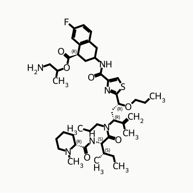 C=C(C)[C@@H](C[C@@H](OCCC)c1nc(C(=O)NC2Cc3ccc(F)cc3[C@H](C(=O)OC(C)CN)C2)cs1)N(CCC)C(=O)[C@@H](NC(=O)[C@H]1CCCCN1C)[C@@H](C)CC